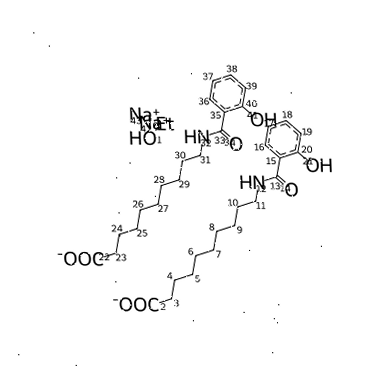 CCO.O=C([O-])CCCCCCCCCNC(=O)c1ccccc1O.O=C([O-])CCCCCCCCCNC(=O)c1ccccc1O.[Na+].[Na+]